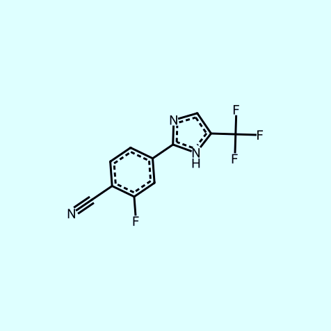 N#Cc1ccc(-c2ncc(C(F)(F)F)[nH]2)cc1F